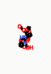 COCCOC[C@H](CC1(C(=O)N[C@H]2COc3ccccc3N(CC(=O)O)C2=O)CCCC1)C(=O)OC(C)(C)C